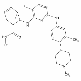 CCNC(=O)C1C2C=CC(C2)C1Nc1nc(Nc2ccc(N3CCN(C)CC3)c(C)c2)ncc1F